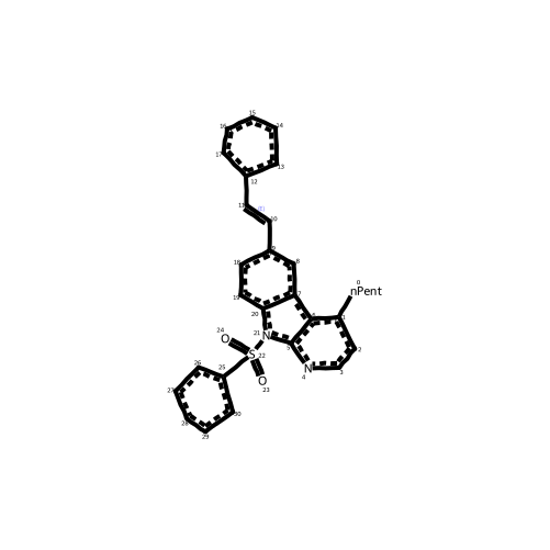 CCCCCc1ccnc2c1c1cc(/C=C/c3ccccc3)ccc1n2S(=O)(=O)c1ccccc1